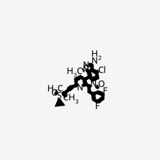 Cn1nc(N)c2c(Cl)ccc(-c3ccc(C#CC(C)(C)[S+]([O-])C4CC4)nc3C(Cc3cc(F)cc(F)c3)NC=O)c21